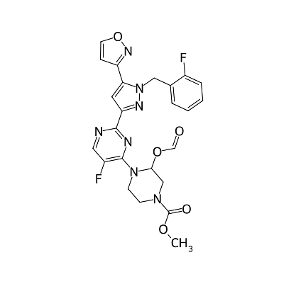 COC(=O)N1CCN(c2nc(-c3cc(-c4ccon4)n(Cc4ccccc4F)n3)ncc2F)C(OC=O)C1